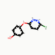 Oc1ccc(Oc2ccc(Cl)nn2)cc1